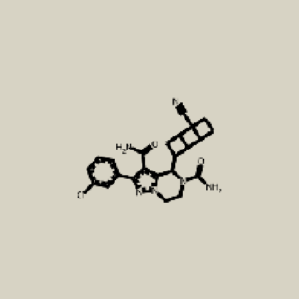 N#CC12C3C4C1C1C2C3C41C1c2c(C(N)=O)c(-c3cccc(Cl)c3)nn2CCN1C(N)=O